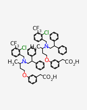 CC(CCOc1cccc(CC(=O)O)c1)N(Cc1cccc(C(F)(F)F)c1Cl)CC(c1ccccc1)c1ccccc1.CC(CCOc1cccc(CC(=O)O)c1)N(Cc1cccc(C(F)(F)F)c1Cl)CC(c1ccccc1)c1ccccc1